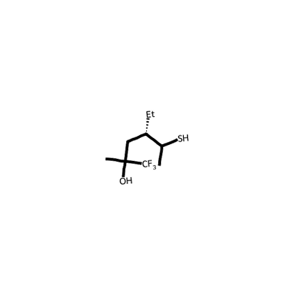 CC[C@@H](CC(C)(O)C(F)(F)F)C(C)S